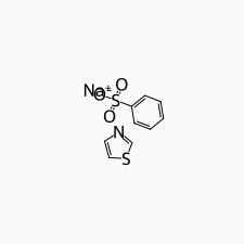 O=S(=O)([O-])c1ccccc1.[Na+].c1cscn1